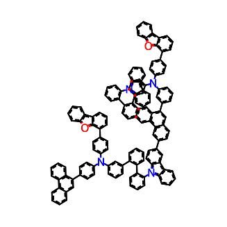 c1cc(-c2ccccc2-c2ccccc2-n2c3ccccc3c3cc(-c4ccc5cc(-c6cccc(N(c7ccc(-c8cccc9c8oc8ccccc89)cc7)c7cccc(-c8ccccc8-c8ccccc8-n8c9ccccc9c9ccccc98)c7)c6)c6ccccc6c5c4)ccc32)cc(N(c2ccc(-c3cc4ccccc4c4ccccc34)cc2)c2ccc(-c3cccc4c3oc3ccccc34)cc2)c1